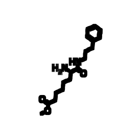 COC(=O)CCCCC[C@@H](N)C(=O)NCCCc1ccccc1